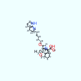 CC1(C)OCc2cccc(C(C(=O)O)N3CC(OCCCCCc4ccc5c(n4)NCCC5)C3)c21